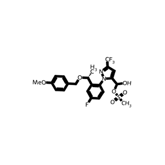 COc1ccc(CO[C@H](C)c2cc(F)ccc2-n2nc(C(F)(F)F)cc2C(O)OS(C)(=O)=O)cc1